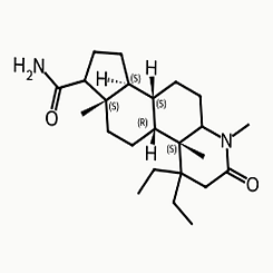 CCC1(CC)CC(=O)N(C)C2CC[C@@H]3[C@@H](CC[C@]4(C)C(C(N)=O)CC[C@@H]34)[C@]21C